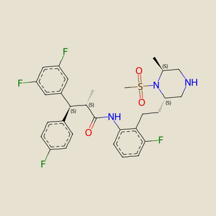 C[C@H](C(=O)Nc1cccc(F)c1CC[C@H]1CNC[C@H](C)N1S(C)(=O)=O)[C@@H](c1ccc(F)cc1)c1cc(F)cc(F)c1